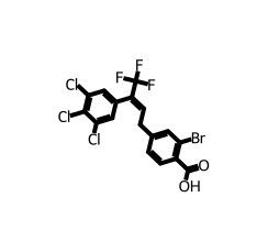 O=C(O)c1ccc(C/C=C(\c2cc(Cl)c(Cl)c(Cl)c2)C(F)(F)F)cc1Br